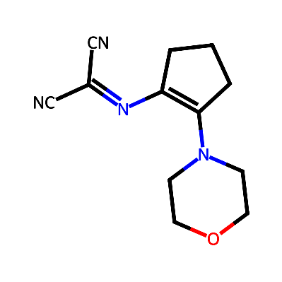 N#CC(C#N)=NC1=C(N2CCOCC2)CCC1